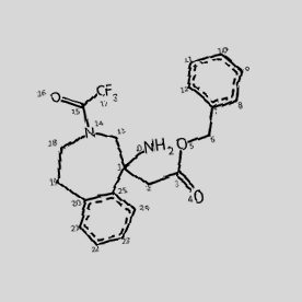 NC1(CC(=O)OCc2ccccc2)CN(C(=O)C(F)(F)F)CCc2ccccc21